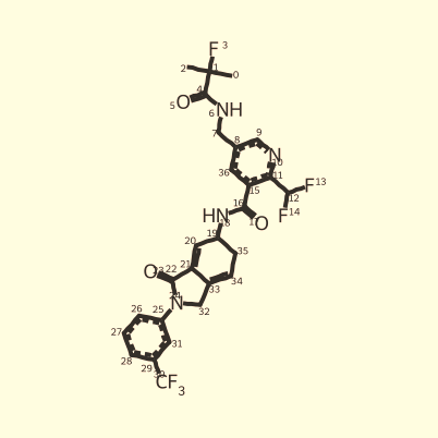 CC(C)(F)C(=O)NCc1cnc(C(F)F)c(C(=O)NC2C=C3C(=O)N(c4cccc(C(F)(F)F)c4)CC3=CC2)c1